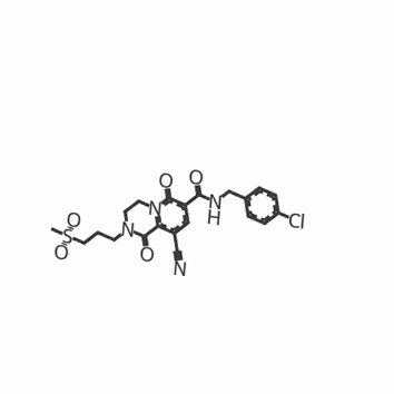 CS(=O)(=O)CCCN1CCn2c(c(C#N)cc(C(=O)NCc3ccc(Cl)cc3)c2=O)C1=O